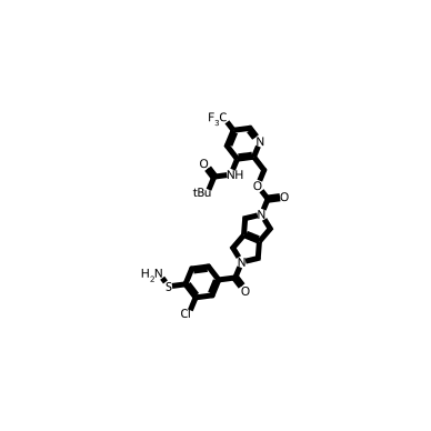 CC(C)(C)C(=O)Nc1cc(C(F)(F)F)cnc1COC(=O)N1CC2=C(C1)CN(C(=O)c1ccc(SN)c(Cl)c1)C2